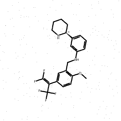 COc1ccc(C(=C(F)F)C(F)(F)F)cc1CNc1cccc([C@@H]2CCCCN2)c1